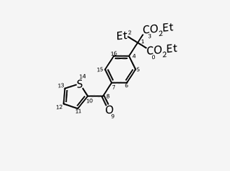 CCOC(=O)C(CC)(C(=O)OCC)c1ccc(C(=O)c2cccs2)cc1